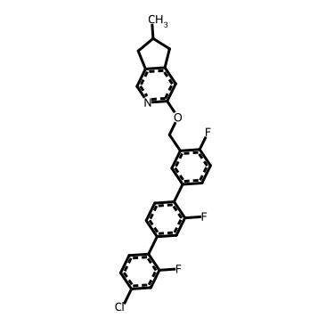 CC1Cc2cnc(OCc3cc(-c4ccc(-c5ccc(Cl)cc5F)cc4F)ccc3F)cc2C1